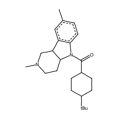 Cc1ccc2c(c1)C1CN(C)CCC1N2C(=O)C1CCC(C(C)(C)C)CC1